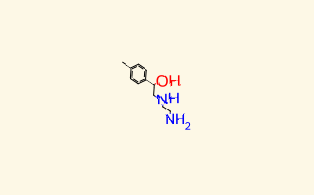 Cc1ccc(C(O)CNCCN)cc1